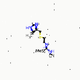 CS/C(=N\CCSCc1nc[nH]c1C)NC#N